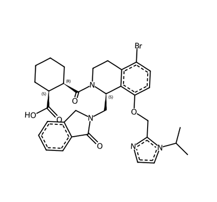 CC(C)n1ccnc1COc1ccc(Br)c2c1[C@@H](CN1Cc3ccccc3C1=O)N(C(=O)[C@@H]1CCCC[C@@H]1C(=O)O)CC2